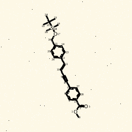 COC(=O)c1ccc(C#CC=Cc2ccc(CO[Si](C)(C)C(C)(C)C)cc2)cc1